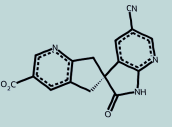 N#Cc1cnc2c(c1)[C@@]1(Cc3cc(C(=O)O)cnc3C1)C(=O)N2